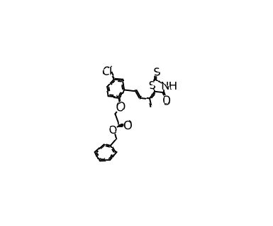 CC(C=Cc1cc(Cl)ccc1OCC(=O)OCc1ccccc1)=C1SC(=S)NC1=O